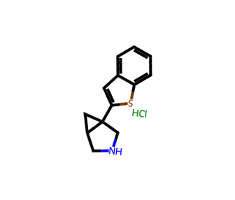 Cl.c1ccc2sc(C34CNCC3C4)cc2c1